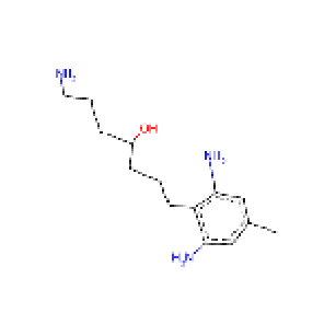 Cc1cc(N)c(CCCC(O)CCCN)c(N)c1